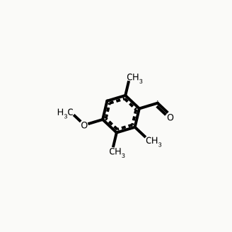 COc1cc(C)c([C]=O)c(C)c1C